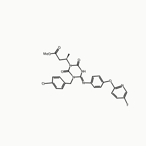 COC(=O)C[C@@H](C)n1c(=O)[nH]/c(=N\c2ccc(Oc3ccc(F)cn3)cc2)n(Cc2ccc(Cl)cc2)c1=O